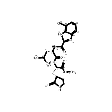 COC(=O)[C@H](C[C@@H]1CCNC1=O)NC(=O)[C@H](CC(C)C)NC(=O)c1nc2cccc(Cl)c2[nH]1